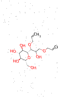 C=CCOCC(O)C(OCC=C)[C@@H]1O[C@H](CO)[C@@H](O)[C@H](O)[C@H]1O